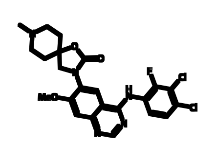 COc1cc2ncnc(Nc3ccc(Cl)c(Cl)c3F)c2cc1N1CC2(CCN(C)CC2)OC1=O